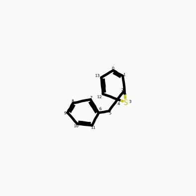 C1=CC2SC2(Cc2ccccc2)C=C1